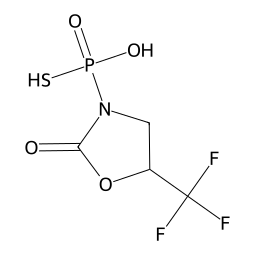 O=C1OC(C(F)(F)F)CN1P(=O)(O)S